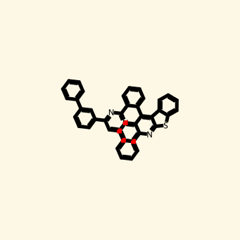 c1ccc(-c2cccc(-c3cc(-c4ccccc4)nc(-c4ccccc4-c4c5ccccc5nc5sc6ccccc6c45)n3)c2)cc1